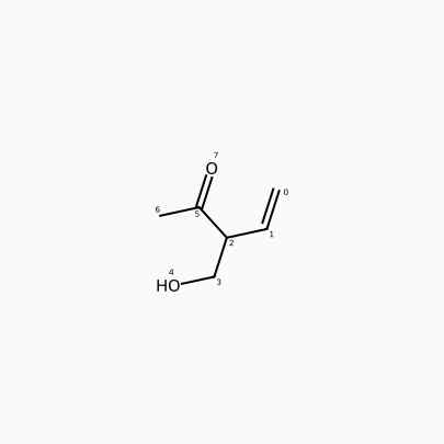 C=CC(CO)C(C)=O